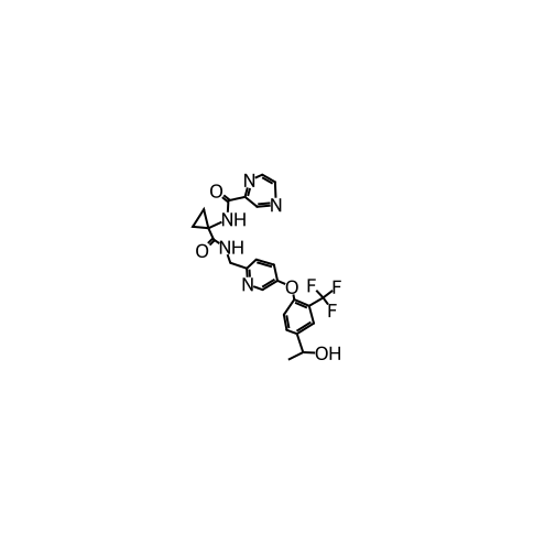 CC(O)c1ccc(Oc2ccc(CNC(=O)C3(NC(=O)c4cnccn4)CC3)nc2)c(C(F)(F)F)c1